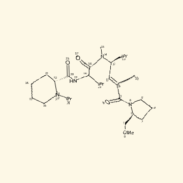 COC[C@@H]1CCCN1C(=O)/C(C)=C/[C@H](C(C)C)N(C)C(=O)C(NC(=O)[C@H]1CCCCN1C(C)C)C(C)C